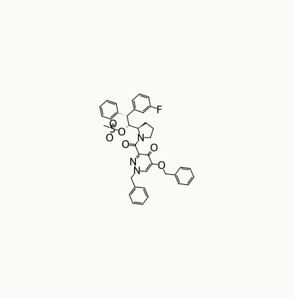 CS(=O)(=O)O[C@H]([C@H](c1ccccc1)c1cccc(F)c1)[C@H]1CCCN1C(=O)c1nn(Cc2ccccc2)cc(OCc2ccccc2)c1=O